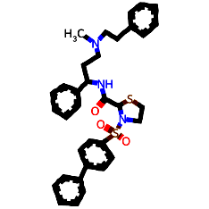 CN(CCc1ccccc1)CCC(NC(=O)C1SCCN1S(=O)(=O)c1ccc(-c2ccccc2)cc1)c1ccccc1